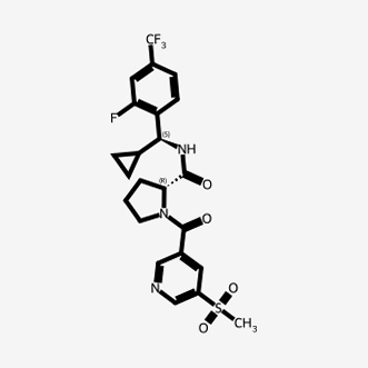 CS(=O)(=O)c1cncc(C(=O)N2CCC[C@@H]2C(=O)N[C@H](c2ccc(C(F)(F)F)cc2F)C2CC2)c1